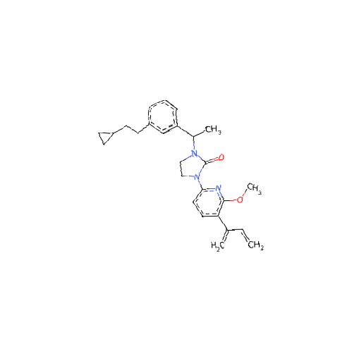 C=CC(=C)c1ccc(N2CCN(C(C)c3cccc(CCC4CC4)c3)C2=O)nc1OC